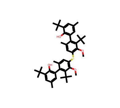 COc1c(Sc2cc(C)c(-c3cc(C)cc(C(C)(C)C)c3O)c(C(C)(C)C)c2OC)cc(C)c(-c2cc(C)cc(C(C)(C)C)c2O)c1C(C)(C)C